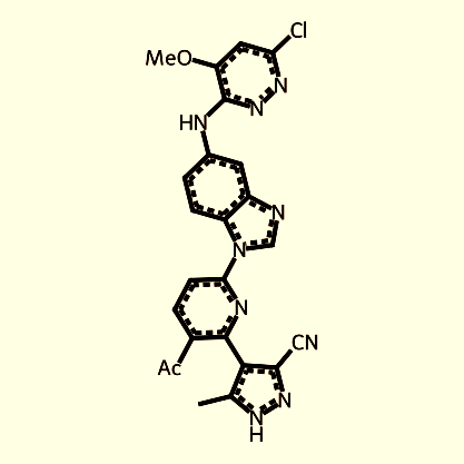 COc1cc(Cl)nnc1Nc1ccc2c(c1)ncn2-c1ccc(C(C)=O)c(-c2c(C#N)n[nH]c2C)n1